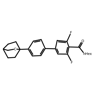 CCCCCCC(=O)c1c(F)cc(-c2ccc(C34CCC(CC3)CC4)cc2)cc1F